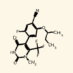 CCC(C)Oc1cc(-c2c(C(F)(F)F)n(C)c(=O)[nH]c2=O)c(F)cc1C#N